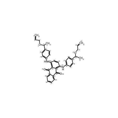 C=CCOC(C)c1ccc(Nc2ccc(Nc3ccc(C(C)OCC=C)cc3)c3c2C(=O)c2ccccc2C3=O)cc1